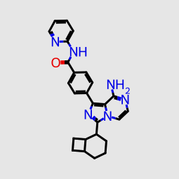 Nc1nccn2c(C3CCCC4CCC43)nc(-c3ccc(C(=O)Nc4ccccn4)cc3)c12